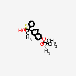 CC(C)(C)C(=O)Oc1ccc2cc(C(C)(C(O)=S)c3ccccc3)ccc2c1